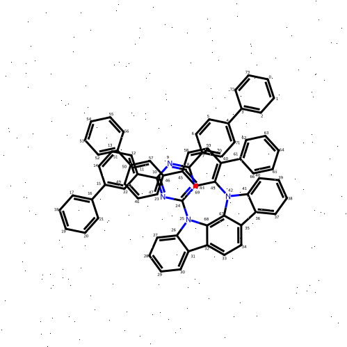 c1ccc(-c2ccc(-c3nc(-c4cccc(-c5ccccc5)c4)nc(-n4c5ccccc5c5ccc6c7ccccc7n(-c7cc(-c8cccc(-c9ccccc9)c8)ccc7-c7ccccc7)c6c54)n3)cc2)cc1